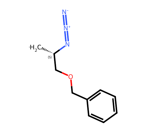 [CH2][C@@H](COCc1ccccc1)N=[N+]=[N-]